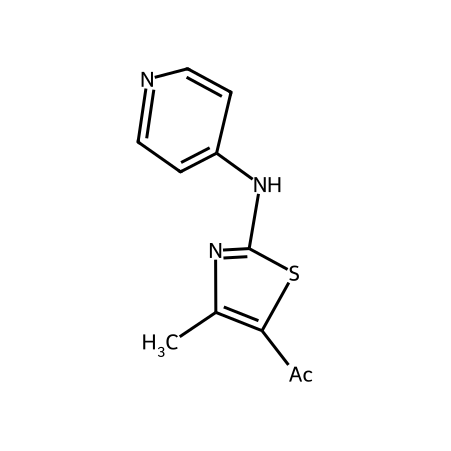 CC(=O)c1sc(Nc2ccncc2)nc1C